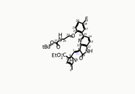 CCOC(=O)c1cc(C)[nH]c1/C=C1\C(=O)Nc2ccc(-c3cc(F)ccc3OCCNC(=O)OC(C)(C)C)nc21